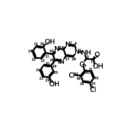 O=C(O)C(NN1C=NC2N=C(c3ccccc3O)C(c3cccc(O)c3)=NC2=C1)Oc1ccc(Cl)cc1Cl